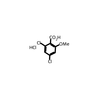 COc1cc(Cl)cc(Cl)c1C(=O)O.Cl